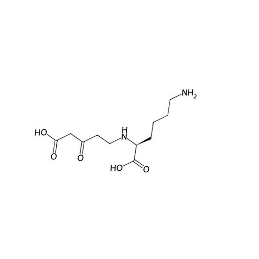 NCCCC[C@H](NCCC(=O)CC(=O)O)C(=O)O